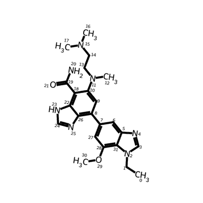 CCn1cnc2cc(-c3cc(N(C)CCN(C)C)c(C(N)=O)c4[nH]cnc34)cc(OC)c21